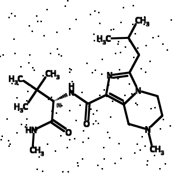 CNC(=O)[C@@H](NC(=O)c1nc(CC(C)C)n2c1CN(C)CC2)C(C)(C)C